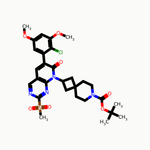 COc1cc(OC)c(Cl)c(-c2cc3cnc(S(C)(=O)=O)nc3n(C3CC4(CCN(C(=O)OC(C)(C)C)CC4)C3)c2=O)c1